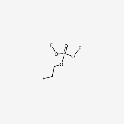 O=P(OF)(OF)OCCF